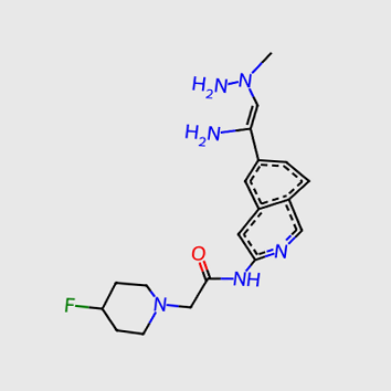 CN(N)/C=C(\N)c1ccc2cnc(NC(=O)CN3CCC(F)CC3)cc2c1